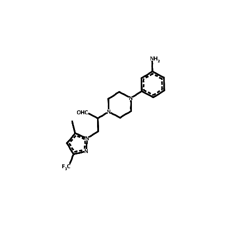 Cc1cc(C(F)(F)F)nn1CC(C=O)N1CCN(c2cccc(N)c2)CC1